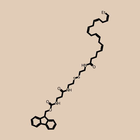 CC/C=C\C/C=C\C/C=C\C/C=C\C/C=C\CCCC(=O)NCCSSCCNC(=O)CCNC(=O)OCC1c2ccccc2-c2ccccc21